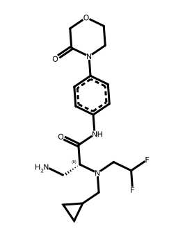 NC[C@H](C(=O)Nc1ccc(N2CCOCC2=O)cc1)N(CC(F)F)CC1CC1